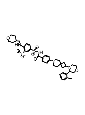 Cc1ccccc1[C@@H]1COCCN1C1CC2(CCN(c3ccc(C(=O)NS(=O)(=O)c4ccc(NCC5CCOCC5)c([N+](=O)[O-])c4)cc3)CC2)C1